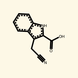 N#CCc1c(C(=O)O)[nH]c2ccccc12